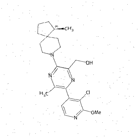 COc1nccc(-c2nc(CO)c(N3CCC4(CCC[C@H]4C)CC3)nc2C)c1Cl